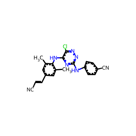 Cc1cc(/C=C/C#N)cc(C)c1Nc1nc(Nc2ccc(C#N)cc2)nnc1Cl